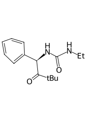 CCNC(=O)N[C@@H](C(=O)C(C)(C)C)c1ccccc1